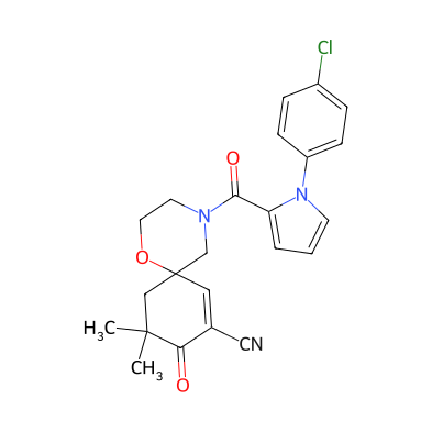 CC1(C)CC2(C=C(C#N)C1=O)CN(C(=O)c1cccn1-c1ccc(Cl)cc1)CCO2